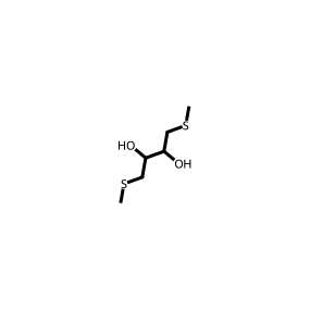 CSCC(O)C(O)CSC